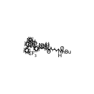 CCCCC(=O)NCCCCCC(=O)NC/C(N)=C/N(N)c1cccc(NC(=O)N2c3nc(-c4cccc(C(F)(F)F)c4)ccc3N3CC[C@H]2C3)c1